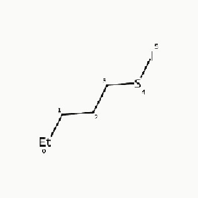 CCCCCSI